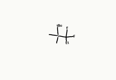 CCC(F)(F)S(C)(C)C(C)(C)C